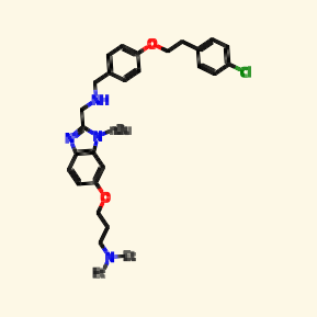 CCCCn1c(CNCc2ccc(OCCc3ccc(Cl)cc3)cc2)nc2ccc(OCCCN(CC)CC)cc21